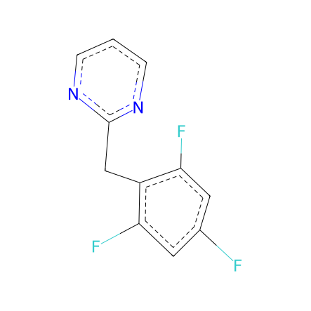 Fc1cc(F)c(Cc2ncccn2)c(F)c1